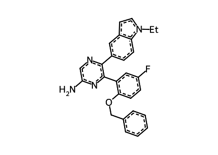 CCn1ccc2cc(-c3ncc(N)nc3-c3cc(F)ccc3OCc3ccccc3)ccc21